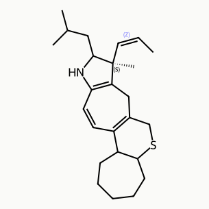 C/C=C\[C@@]1(C)C2=C(C=CC3=C(CSC4CCCCCC34)C2)NC1CC(C)C